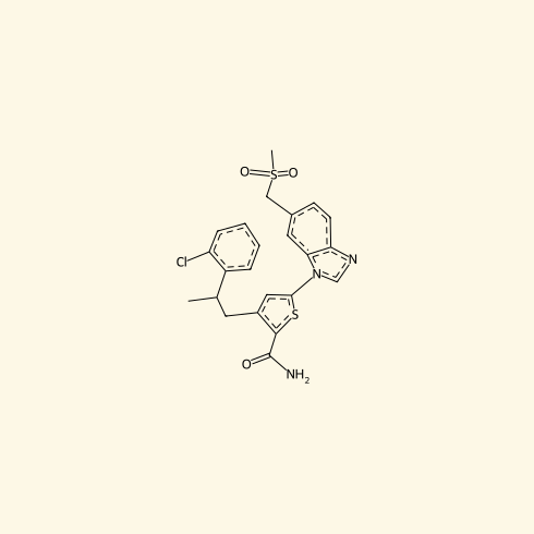 CC(Cc1cc(-n2cnc3ccc(CS(C)(=O)=O)cc32)sc1C(N)=O)c1ccccc1Cl